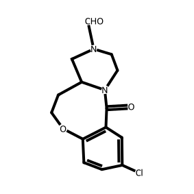 O=CN1CCN2C(=O)c3cc(Cl)ccc3OCCC2C1